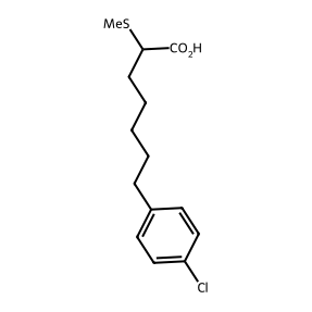 CSC(CCCCCc1ccc(Cl)cc1)C(=O)O